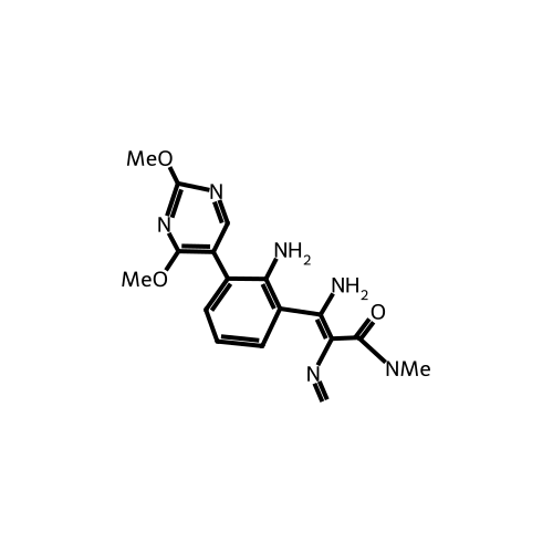 C=N/C(C(=O)NC)=C(/N)c1cccc(-c2cnc(OC)nc2OC)c1N